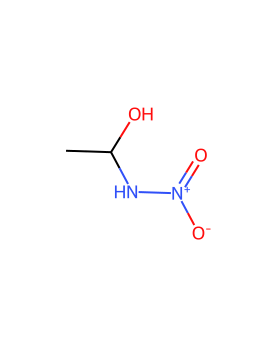 CC(O)N[N+](=O)[O-]